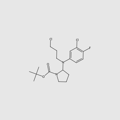 CC(C)(C)OC(=O)N1CCCC1N(CCCCl)c1ccc(F)c(Cl)c1